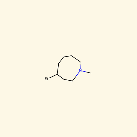 CCC1CCCCN(C)CC1